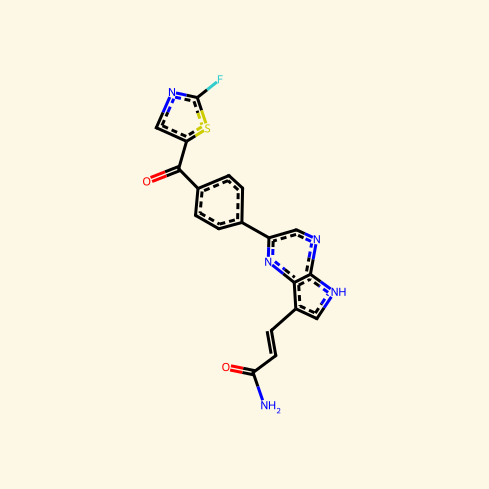 NC(=O)C=Cc1c[nH]c2ncc(-c3ccc(C(=O)c4cnc(F)s4)cc3)nc12